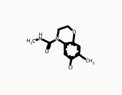 CNC(=O)N1CCOc2cc(C)c(Cl)cc21